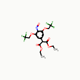 CCOC(=O)C(C(=O)OCC)c1cc(OCC(F)(F)F)c(N=O)c(OCC(F)(F)F)c1